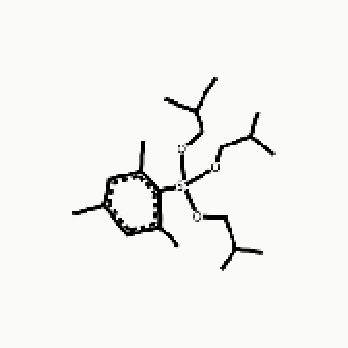 Cc1cc(C)c([Si](OCC(C)C)(OCC(C)C)OCC(C)C)c(C)c1